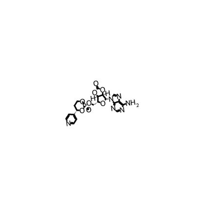 Nc1ncnc2c1ncn2[C@@H]1O[C@H](COP2(=O)OCC[C@@H](c3ccncc3)O2)[C@H]2OC(=O)O[C@H]21